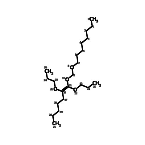 CCCCCCCCOCO/C(OCCC)=C(/CCCCC)OCCC